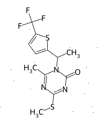 CSc1nc(C)n(C(C)c2ccc(C(F)(F)F)s2)c(=O)n1